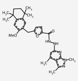 COc1cc2c(cc1Cc1ccc(C(=O)NNc3cc(C)c4c(C)nn(C)c4n3)o1)C(C)(C)CCC2(C)C